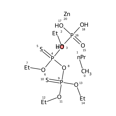 CCCC.CCOP(=S)(OCC)OP(=S)(OCC)OCC.O=P(O)(O)O.[Zn]